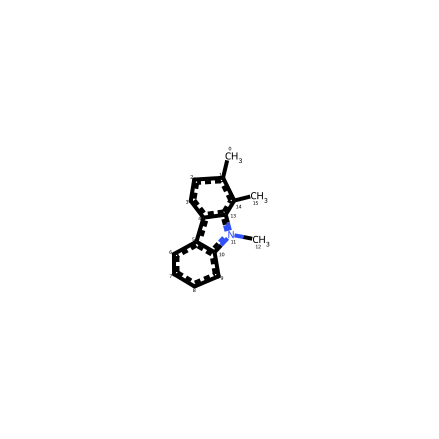 Cc1ccc2c3ccccc3n(C)c2c1C